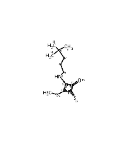 CSc1c(NCCCC(C)(C)C)c(=O)c1=S